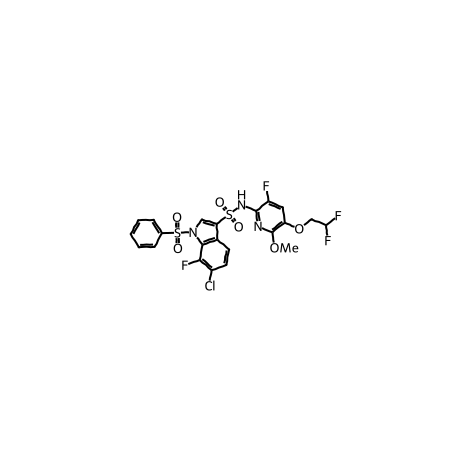 COc1nc(NS(=O)(=O)c2cn(S(=O)(=O)c3ccccc3)c3c(F)c(Cl)ccc23)c(F)cc1OCC(F)F